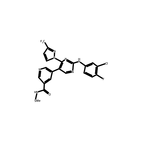 CSNC(=O)c1cncc(-c2cnc(Nc3ccc(F)c(Cl)c3)nc2-n2ccc(C(F)(F)F)n2)c1